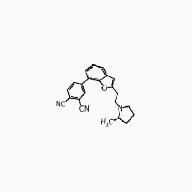 C[C@@H]1CCCN1CCc1cc2cccc(-c3ccc(C#N)c(C#N)c3)c2o1